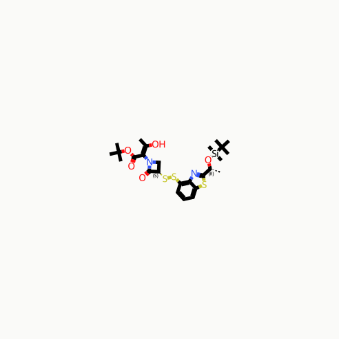 CC(O)=C(C(=O)OC(C)(C)C)N1C[C@H](SSc2cccc3sc([C@@H](C)O[Si](C)(C)C(C)(C)C)nc23)C1=O